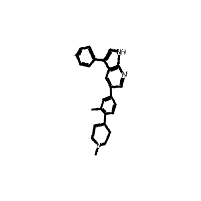 Cc1cc(-c2cnc3[nH]cc(-c4cc[c]cc4)c3c2)ccc1C1CCN(C)CC1